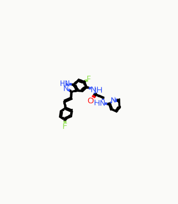 O=C(CNc1ccccn1)Nc1cc2c(/C=C/c3ccc(F)cc3)n[nH]c2cc1F